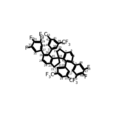 Fc1cc(-c2ccc3c(c2-c2cc(C(F)(F)F)cc(C(F)(F)F)c2)C2(CC3)CCc3ccc(-c4cc(F)c(F)c(F)c4)c(-c4cc(C(F)(F)F)cc(C(F)(F)F)c4)c32)cc(F)c1F